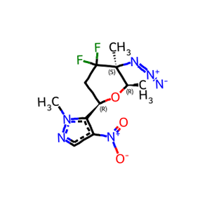 C[C@H]1O[C@@H](c2c([N+](=O)[O-])cnn2C)CC(F)(F)[C@@]1(C)N=[N+]=[N-]